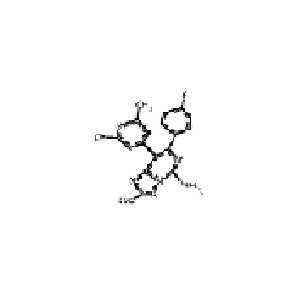 Cc1cc(-c2c(-c3ccc(F)cc3)nc(N)n3nc(C#N)nc23)cc(Cl)n1